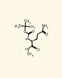 CNC(=O)[C@H](CCC(N)=O)NC(=O)OC(C)(C)C